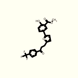 COC(=O)c1cc(-c2ccc(CCC(=O)c3ccc(C(F)(F)F)cc3)o2)ccc1O